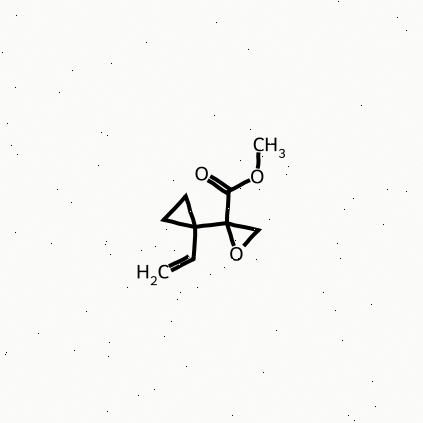 C=CC1(C2(C(=O)OC)CO2)CC1